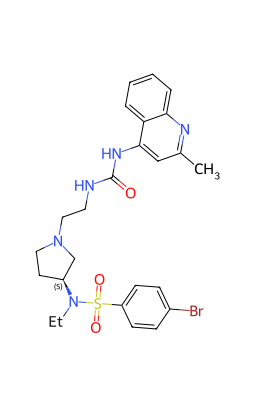 CCN([C@H]1CCN(CCNC(=O)Nc2cc(C)nc3ccccc23)C1)S(=O)(=O)c1ccc(Br)cc1